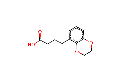 O=C(O)CCCc1cccc2c1OCCO2